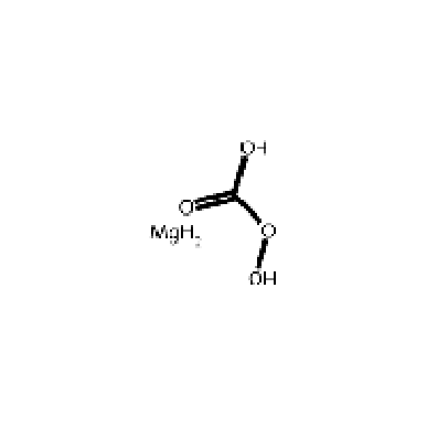 O=C(O)OO.[MgH2]